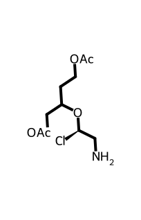 CC(=O)OCCC(COC(C)=O)O[C@H](Cl)CN